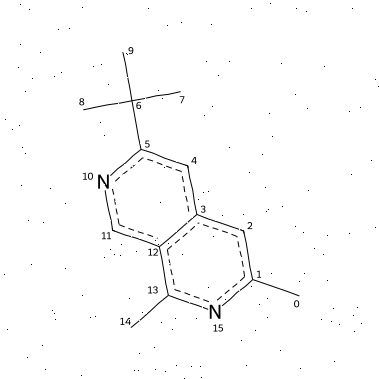 Cc1cc2cc(C(C)(C)C)ncc2c(C)n1